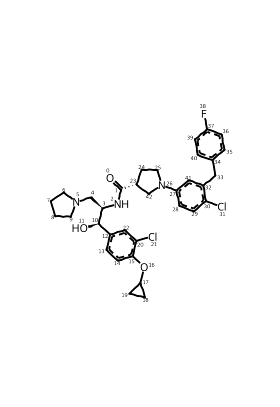 O=C(N[C@H](CN1CCCC1)[C@H](O)c1ccc(OC2CC2)c(Cl)c1)[C@@H]1CCN(c2ccc(Cl)c(Cc3ccc(F)cc3)c2)C1